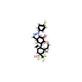 C=C[C@]12CC[C@@](O)(C(F)(F)F)C[C@@H]1CCOc1c2cc2cnn(-c3ccc(F)cc3)c2c1Br